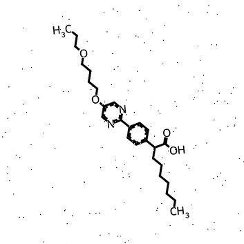 CCCCCCCC(C(=O)O)c1ccc(-c2ncc(OCCCCOCCC)cn2)cc1